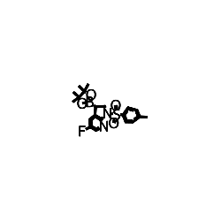 Cc1ccc(S(=O)(=O)N2CC(B3OC(C)(C)C(C)(C)O3)c3cc(F)cnc32)cc1